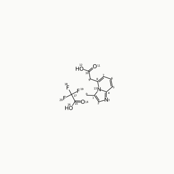 Cc1cnc2cccc(CC(=O)O)n12.O=C(O)C(F)(F)F